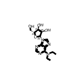 CCN(CC)c1ncnc2c1ncn2[C@@H]1O[C@H](CO)[C@@H](O)[C@H]1O